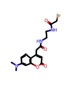 CN(C)c1ccc2c(CC(=O)NCCNC(=O)CBr)cc(=O)oc2c1